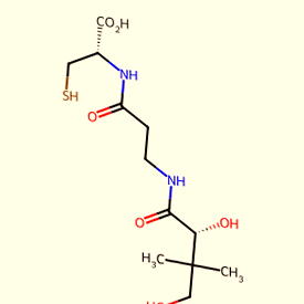 CC(C)(CO)[C@@H](O)C(=O)NCCC(=O)N[C@H](CS)C(=O)O